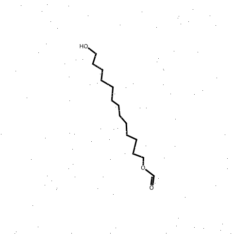 O=COCCCCCCCCCCCCCO